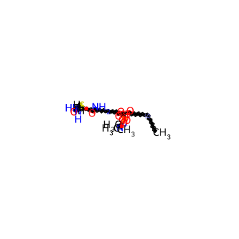 CCCCCCCC/C=C\CCCCCCCC(=O)OC[C@H](COP(=O)([O-])OCC[N+](C)(C)C)OC(=O)CCCCCCCCCCC(N)C(=O)CCCC[C@@H]1SC[C@@H]2NC(=O)N[C@@H]21